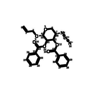 C=CCO[C@@H]1OC[C@H](N=[N+]=[N-])C(OC(=O)c2ccccc2)C1OC(=O)c1ccccc1